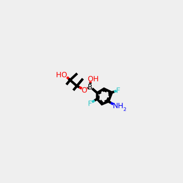 CC(C)(O)C(C)(C)OB(O)c1cc(F)c(N)cc1F